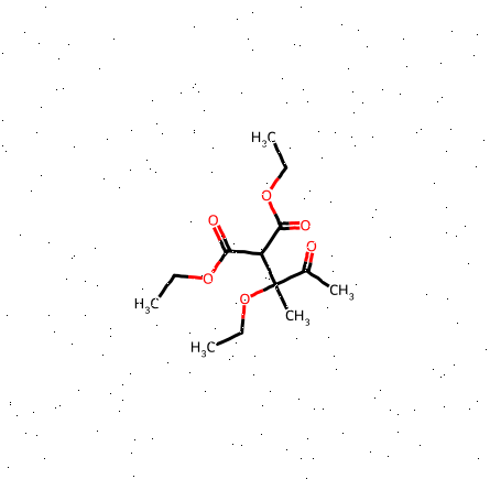 CCOC(=O)C(C(=O)OCC)C(C)(OCC)C(C)=O